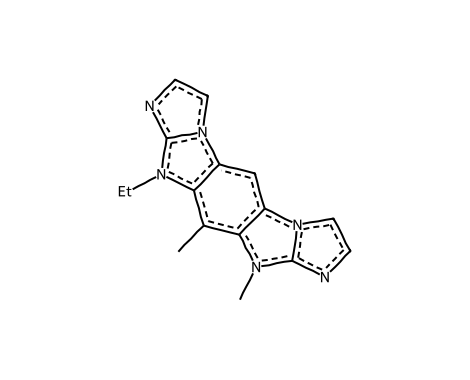 CCn1c2c(C)c3c(cc2n2ccnc12)n1ccnc1n3C